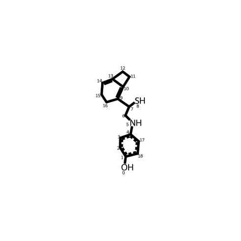 Oc1ccc(NCC(S)C2=C3CCC3=CCC2)cc1